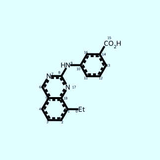 CCc1cccc2cnc(Nc3cccc(C(=O)O)c3)nc12